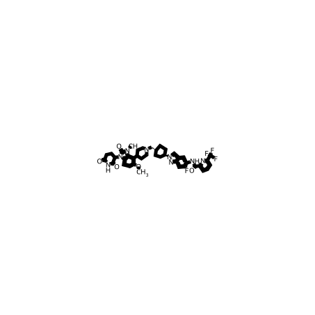 COc1ccc2c(c1C1CCN(C[C@H]3CC[C@H](n4cc5cc(NC(=O)c6cccc(C(F)(F)F)n6)c(F)cc5n4)CC3)CC1)n(C)c(=O)n2C1CCC(=O)NC1=O